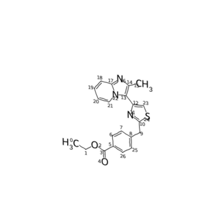 CCOC(=O)c1ccc(Cc2nc(-c3c(C)nc4ccccn34)cs2)cc1